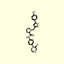 O=C(Nc1ccc(N2CCOCC2=O)cc1)C1CCCN1Cc1cc(-c2ccc(Cl)cc2)on1